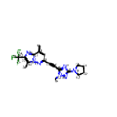 Cc1cc(C#Cc2nc(N3CCCC3)nn2C)nn2c(C)c(C(F)(F)F)nc12